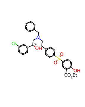 CCOC(=O)c1cc(S(=O)(=O)c2ccc(CCN(Cc3ccccc3)C[C@@H](O)c3cccc(Cl)c3)cc2)ccc1O